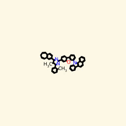 Cc1ccccc1C1N=C(C2=CC3Oc4c(cccc4-n4c5ccccc5c5ccc6ccccc6c54)C3C=C2)N=C(c2ccc3c(c2)C=CCC=C3)C1C